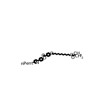 C=C(C)C(=O)OCCCCCCCCCCCOc1ccc(C(=O)Oc2ccc(-c3ccc(CCCCC)cn3)cc2)cc1